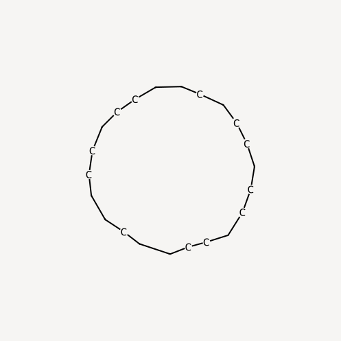 C1CCCCCCCCCCCCCCCCCCCCC1